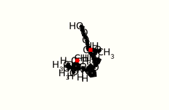 COc1cc(Nc2cc(Oc3ccc(NC(=O)Nc4cc(C(C)(C)C)cc(NS(C)(=O)=O)c4OC)c4ccccc34)ccn2)cc(C(=O)NCCOCCOCCO)c1